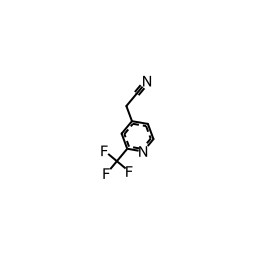 N#CCc1ccnc(C(F)(F)F)c1